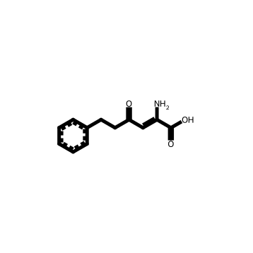 NC(=CC(=O)CCc1ccccc1)C(=O)O